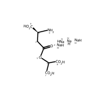 N[C@@H](CC(=O)OC(C(=O)O)C(=O)O)C(=O)O.[NaH].[NaH].[NaH].[NaH]